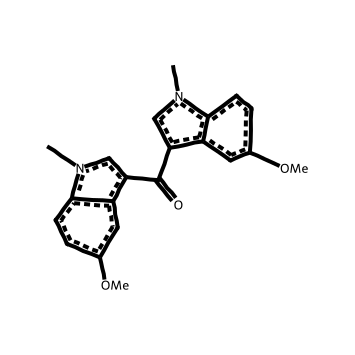 COc1ccc2c(c1)c(C(=O)c1cn(C)c3ccc(OC)cc13)cn2C